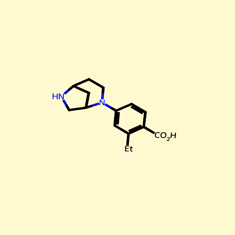 CCc1cc(N2CCC3CC2CN3)ccc1C(=O)O